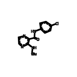 CC(C)(C)Nc1nccnc1C(=O)Nc1ccc(Cl)cc1